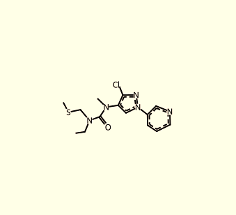 CCN(CSC)C(=O)N(C)c1cn(-c2cccnc2)nc1Cl